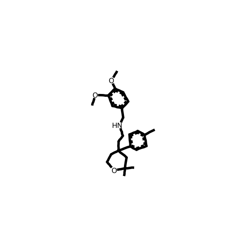 COc1ccc(CNCCC2(c3ccc(C)cc3)CCOC(C)(C)C2)cc1OC